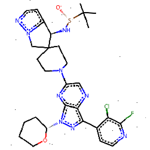 CC(C)(C)[S@@+]([O-])N[C@@H]1c2ccnn2CC12CCN(c1cnc3c(-c4ccnc(F)c4Cl)nn([C@H]4CCCCO4)c3n1)CC2